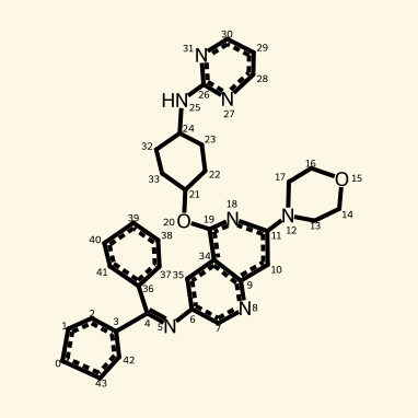 c1ccc(C(=Nc2cnc3cc(N4CCOCC4)nc(OC4CCC(Nc5ncccn5)CC4)c3c2)c2ccccc2)cc1